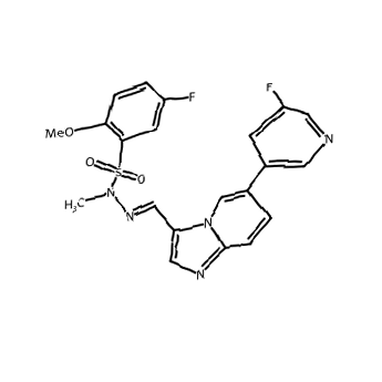 COc1ccc(F)cc1S(=O)(=O)N(C)N=Cc1cnc2ccc(-c3cncc(F)c3)cn12